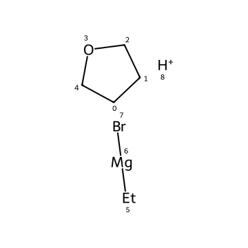 C1CCOC1.C[CH2][Mg][Br].[H+]